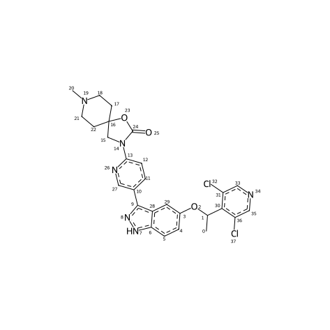 CC(Oc1ccc2[nH]nc(-c3ccc(N4CC5(CCN(C)CC5)OC4=O)nc3)c2c1)c1c(Cl)cncc1Cl